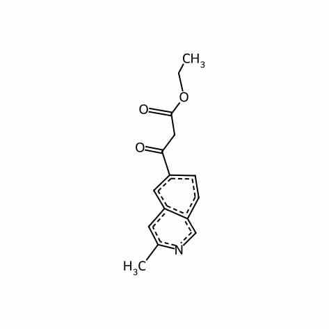 CCOC(=O)CC(=O)c1ccc2cnc(C)cc2c1